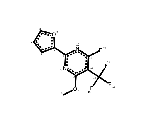 COc1nc(-c2ccco2)nc(F)c1C(F)(F)F